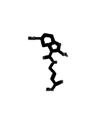 COC(=O)/C=C/CNC(=O)c1c(C)oc2ccc(OC)cc12